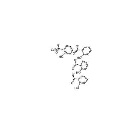 O=C([O-])c1ccccc1O.O=C([O-])c1ccccc1O.O=C([O-])c1ccccc1O.O=C([O-])c1ccccc1O.[Ca+2].[Ca+2]